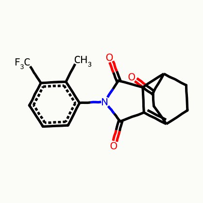 Cc1c(N2C(=O)C3=C4CCC(C(=O)C4)C3C2=O)cccc1C(F)(F)F